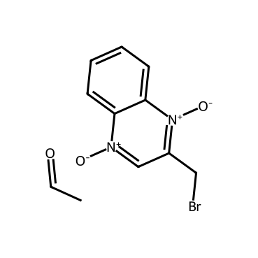 CC=O.[O-][n+]1cc(CBr)[n+]([O-])c2ccccc21